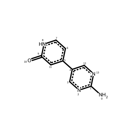 Nc1ncc(-c2cc[nH]c(=O)c2)cn1